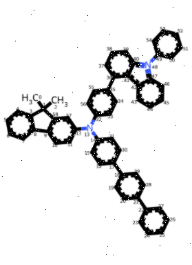 CC1(C)c2ccccc2-c2ccc(N(c3ccc(-c4ccc(-c5ccccc5)cc4)cc3)c3ccc(-c4cccc5c4c4ccccc4n5-c4ccccc4)cc3)cc21